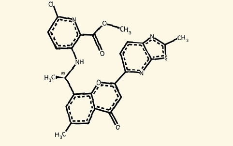 COC(=O)c1nc(Cl)ccc1N[C@H](C)c1cc(C)cc2c(=O)cc(-c3ccc4nc(C)sc4n3)oc12